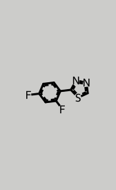 Fc1ccc(-c2nncs2)c(F)c1